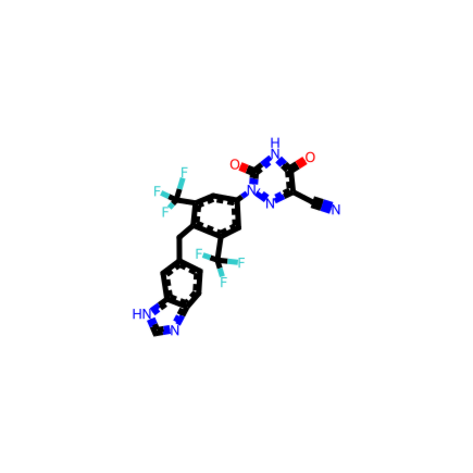 N#Cc1nn(-c2cc(C(F)(F)F)c(Cc3ccc4nc[nH]c4c3)c(C(F)(F)F)c2)c(=O)[nH]c1=O